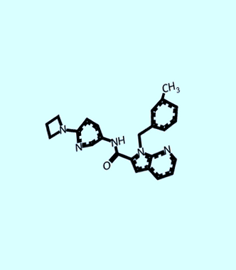 Cc1cccc(Cn2c(C(=O)Nc3ccc(N4CCC4)nc3)cc3cccnc32)c1